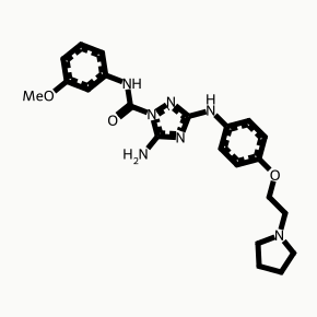 COc1cccc(NC(=O)n2nc(Nc3ccc(OCCN4CCCC4)cc3)nc2N)c1